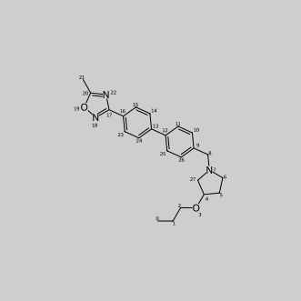 CCCOC1CCN(Cc2ccc(-c3ccc(-c4noc(C)n4)cc3)cc2)C1